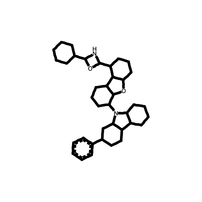 c1ccc(C2CCC3C4CCCCC4N(C4CCCC5C4OC4CCCC(C6NC(C7CCCCC7)O6)C45)C3C2)cc1